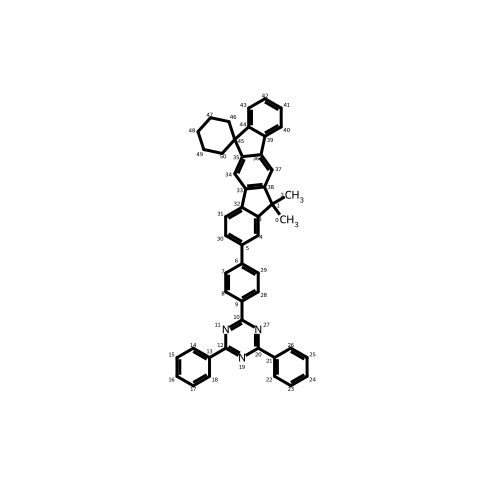 CC1(C)c2cc(-c3ccc(-c4nc(-c5ccccc5)nc(-c5ccccc5)n4)cc3)ccc2-c2cc3c(cc21)-c1ccccc1C31CCCCC1